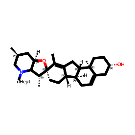 CCCCCCCN1C[C@@H](C)C[C@H]2O[C@]3(CC[C@@H]4C(=C3C)C[C@H]3[C@H]4CC=C4C[C@@H](O)CC[C@@]43C)[C@H](C)C21